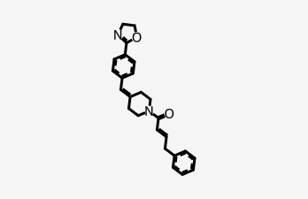 O=C(/C=C/Cc1ccccc1)N1CCC(=Cc2ccc(C3=NCCO3)cc2)CC1